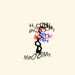 COc1cc2c(cc1OC)CC(C(=O)N[C@@H](CO)C(=O)N[C@@H](CC(C)C)B1OC(C)(C)C(C)(C)O1)CC2